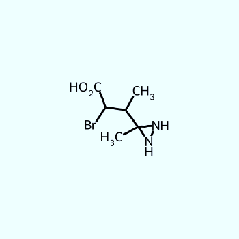 CC(C(Br)C(=O)O)C1(C)NN1